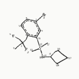 CC(F)(F)c1ccc(Br)cc1S(C)(C)NC1CCC1